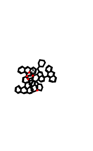 C[SiH](C)[Zr]([CH]1C(CC2CCCCC2)=Cc2c(-c3c4ccccc4cc4ccccc34)ccc(-c3c4ccccc4cc4ccccc34)c21)[CH]1C(CC2CCCCC2)=Cc2c(-c3c4ccccc4cc4ccccc34)ccc(-c3c4ccccc4cc4ccccc34)c21